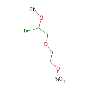 CCOC(Br)COCCO[N+](=O)[O-]